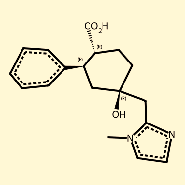 Cn1ccnc1C[C@@]1(O)CC[C@@H](C(=O)O)[C@H](c2ccccc2)C1